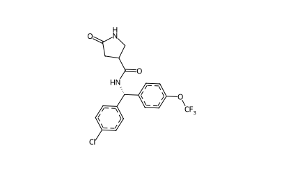 O=C1CC(C(=O)N[C@@H](c2ccc(Cl)cc2)c2ccc(OC(F)(F)F)cc2)CN1